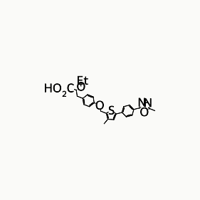 CCOC(Cc1ccc(OCc2sc(-c3ccc(-c4nnc(C)o4)cc3)cc2C)cc1)C(=O)O